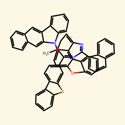 CC1C/C=C(c2c(-n3c4ccccc4c4cc5ccccc5cc43)ccc3oc4ccccc4c23)/N=C(c2cccc3ccccc23)\N=C/1c1ccc2c(c1)sc1ccccc12